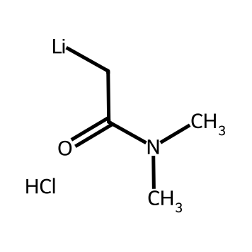 Cl.[Li][CH2]C(=O)N(C)C